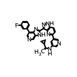 C=C(Nc1cncc(-c2ccc3[nH]nc(-c4nc5c(-c6cccc(F)c6)cncc5[nH]4)c3n2)c1)C1CC1